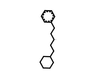 [CH](CCc1ccccc1)CCC1CCCCC1